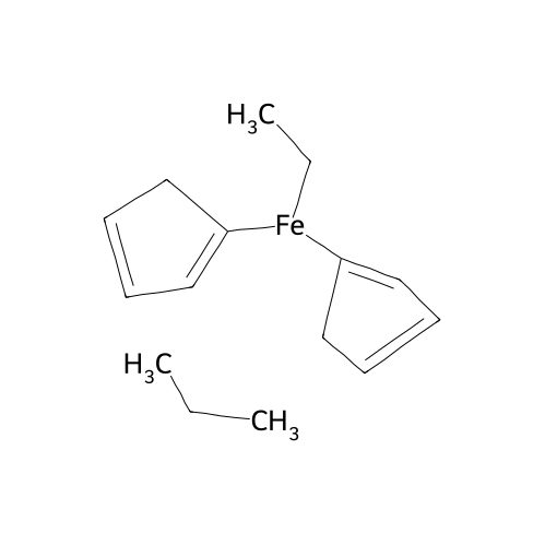 CCC.C[CH2][Fe]([C]1=CC=CC1)[C]1=CC=CC1